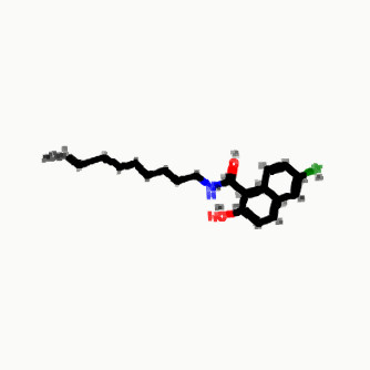 CCCCCCCCCCCCCCCCCCNC(=O)c1c(O)ccc2cc(Br)ccc12